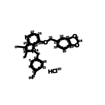 Cc1c(C)n(Cc2ccc(F)cc2)c2c(OCc3ccc4c(c3)OCO4)ccnc12.Cl